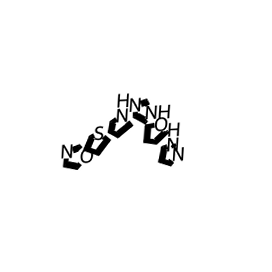 c1c[nH]cn1.c1cc[nH]c1.c1ccoc1.c1ccsc1.c1cn[nH]c1.c1cocn1